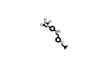 O=C1CN(c2ccc(NCCc3cccc(OCC4CC4)c3)cc2)C(=O)N1